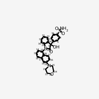 NS(=O)(=O)c1ccc(C2(O)C(=O)N(c3cccc4cc(N5CCOCC5)ccc34)c3ccccc32)cc1